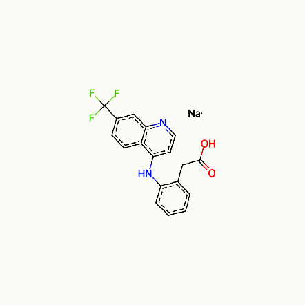 O=C(O)Cc1ccccc1Nc1ccnc2cc(C(F)(F)F)ccc12.[Na]